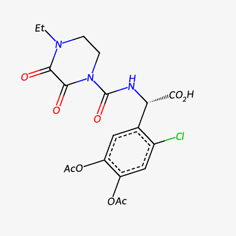 CCN1CCN(C(=O)N[C@H](C(=O)O)c2cc(OC(C)=O)c(OC(C)=O)cc2Cl)C(=O)C1=O